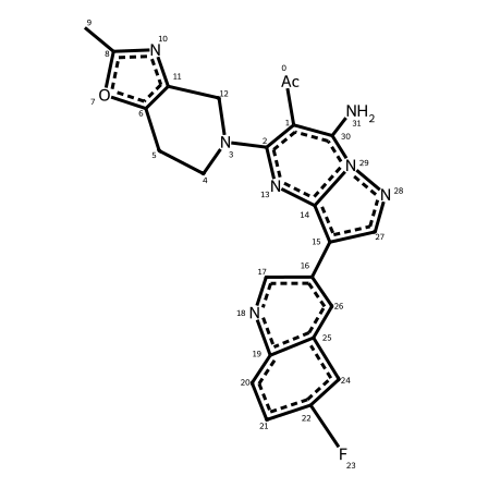 CC(=O)c1c(N2CCc3oc(C)nc3C2)nc2c(-c3cnc4ccc(F)cc4c3)cnn2c1N